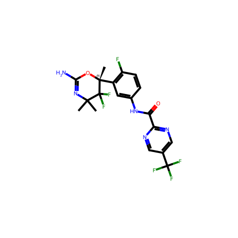 CC1(C)N=C(N)O[C@](C)(c2cc(NC(=O)c3ncc(C(F)(F)F)cn3)ccc2F)C1(F)F